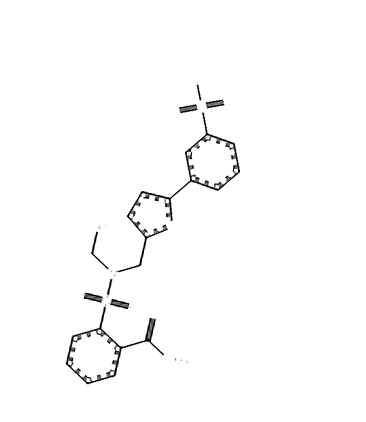 COC(=O)c1ccccc1S(=O)(=O)N(Cc1ccc(-c2cccc(S(C)(=O)=O)c2)s1)CC(C)C